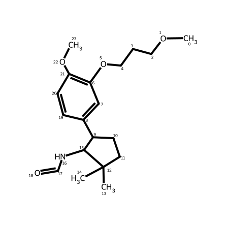 COCCCOc1cc(C2CCC(C)(C)C2NC=O)ccc1OC